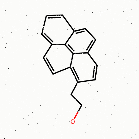 [O]CCc1ccc2ccc3cccc4ccc1c2c34